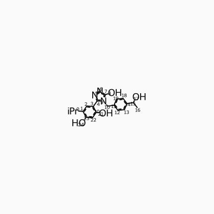 CC(C)c1cc(-c2nnc(O)n2Cc2ccc(C(C)O)cc2)c(O)cc1O